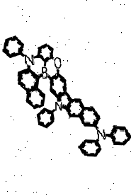 c1ccc(N(c2ccccc2)c2ccc3cc4c5cc6c(cc5n(-c5ccccc5)c4cc3c2)B2c3c(cccc3N(c3ccccc3)c3ccc4ccccc4c32)O6)cc1